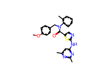 COc1ccc(CN(C(=O)c2cnc(Nc3cc(C)nc(C)n3)s2)c2ccccc2C)cc1